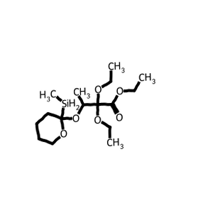 CCOC(=O)C(OCC)(OCC)C(C)OC1([SiH2]C)CCCCO1